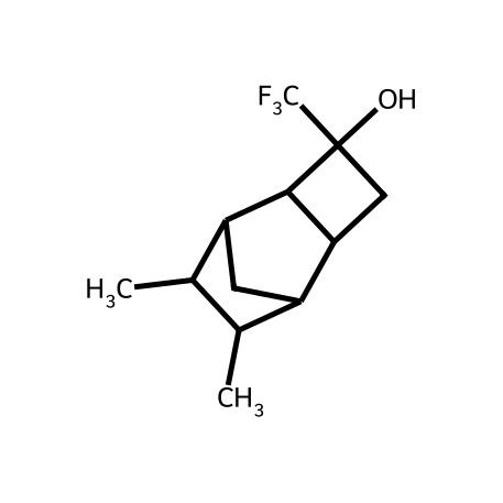 CC1C(C)C2CC1C1CC(O)(C(F)(F)F)C21